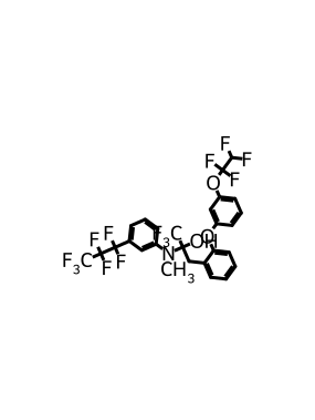 CN(c1cccc(C(F)(F)C(F)(F)C(F)(F)F)c1)C(O)(Cc1ccccc1Oc1cccc(OC(F)(F)C(F)F)c1)C(F)(F)F